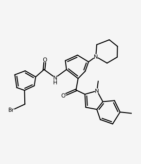 Cc1ccc2cc(C(=O)c3cc(N4CCCCC4)ccc3NC(=O)c3cccc(CBr)c3)n(C)c2c1